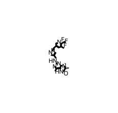 Cc1cc(Cn2cc(CNc3nc(C)c4c(n3)N(C)[C@@H](C)C(=O)N4)cn2)cnc1C(F)(F)F